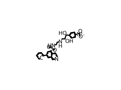 O=[N+]([O-])c1ccc(C(O)C(O)CNCCNS(=O)(=O)c2cc(-c3ccccc3)cc3cnccc23)cc1